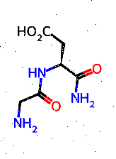 NCC(=O)N[C@@H](CC(=O)O)C(N)=O